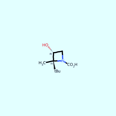 CC(C)(C)[C@@]1(C)[C@H](O)CN1C(=O)O